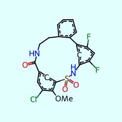 COc1c(Cl)cc2cc1S(=O)(=O)Nc1cc(c(F)cc1F)-c1ccccc1CCNC2=O